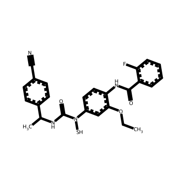 CCOc1cc(N(S)C(=O)NC(C)c2ccc(C#N)cc2)ccc1NC(=O)c1ccccc1F